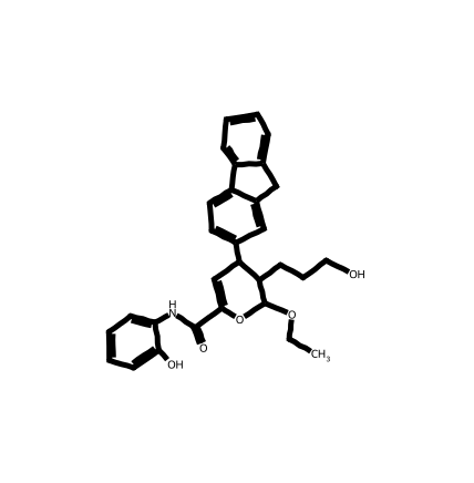 CCOC1OC(C(=O)Nc2ccccc2O)=CC(c2ccc3c(c2)Cc2ccccc2-3)C1CCCO